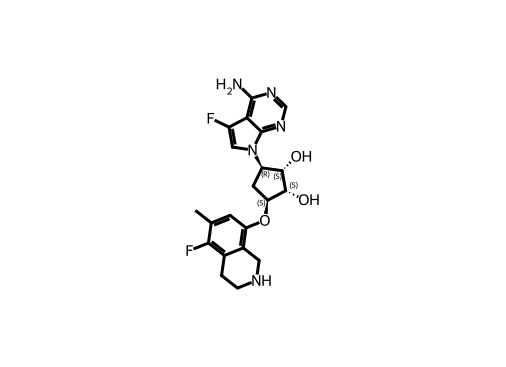 Cc1cc(O[C@H]2C[C@@H](n3cc(F)c4c(N)ncnc43)[C@H](O)[C@@H]2O)c2c(c1F)CCNC2